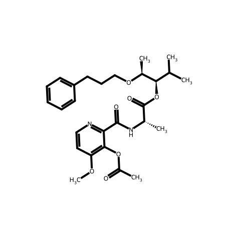 COc1ccnc(C(=O)N[C@@H](C)C(=O)O[C@H](C(C)C)[C@H](C)OCCCc2ccccc2)c1OC(C)=O